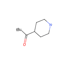 CC(C)(C)C(=O)C1CC[N]CC1